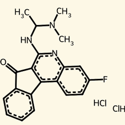 CC(Nc1nc2cc(F)ccc2c2c1C(=O)c1ccccc1-2)N(C)C.Cl.Cl